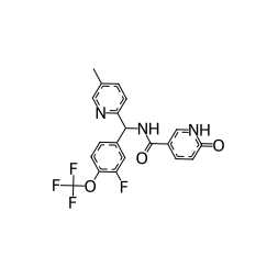 Cc1ccc(C(NC(=O)c2ccc(=O)[nH]c2)c2ccc(OC(F)(F)F)c(F)c2)nc1